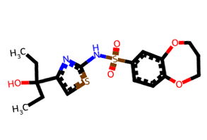 CCC(O)(CC)c1csc(NS(=O)(=O)c2ccc3c(c2)OCCCO3)n1